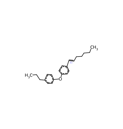 CCCCC/C=C/c1ccc(Oc2ccc(CCC)cc2)cc1